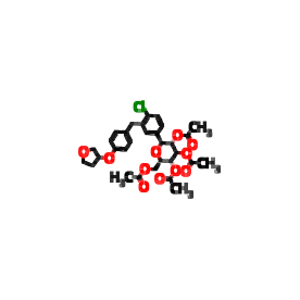 CC(=O)OC[C@H]1O[C@@H](c2ccc(Cl)c(Cc3ccc(O[C@H]4CCOC4)cc3)c2)[C@H](OC(C)=O)[C@@H](OC(C)=O)[C@@H]1OC(C)=O